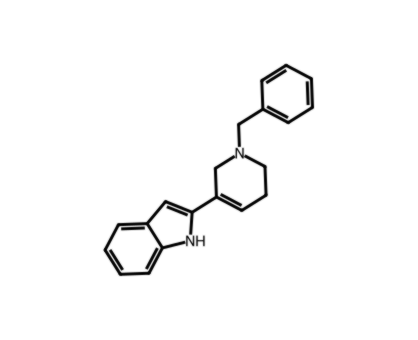 C1=C(c2cc3ccccc3[nH]2)CN(Cc2ccccc2)CC1